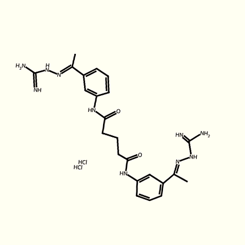 CC(=NNC(=N)N)c1cccc(NC(=O)CCCC(=O)Nc2cccc(C(C)=NNC(=N)N)c2)c1.Cl.Cl